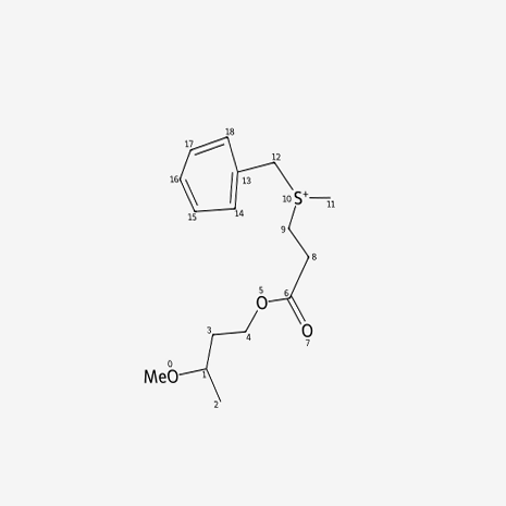 COC(C)CCOC(=O)CC[S+](C)Cc1ccccc1